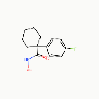 O=C(NO)C1(c2ccc(F)cc2)CCCCC1